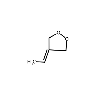 CC=C1COOC1